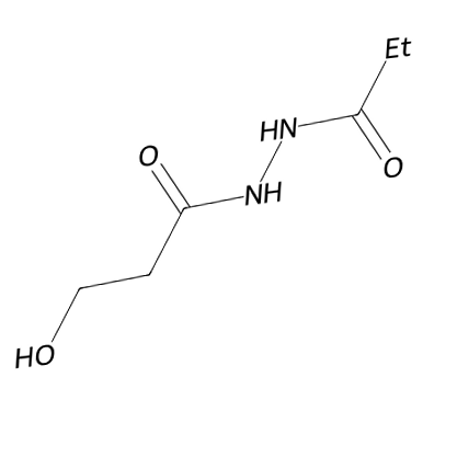 CCC(=O)NNC(=O)CCO